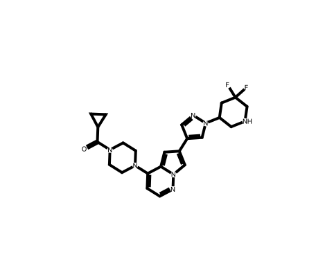 O=C(C1CC1)N1CCN(c2ccnn3cc(-c4cnn(C5CNCC(F)(F)C5)c4)cc23)CC1